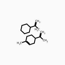 C=C(C)C1CC=C(C)CC1.C=C(C)C1CCCCC1